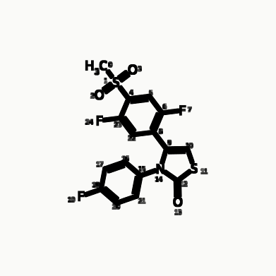 CS(=O)(=O)c1cc(F)c(-c2csc(=O)n2-c2ccc(F)cc2)cc1F